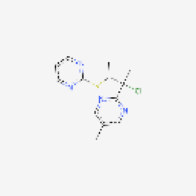 Cc1cnc(C(C)(Cl)C(C)Sc2ncccn2)nc1